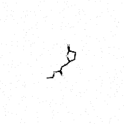 CCOC(=O)CCC1CCC(=O)O1